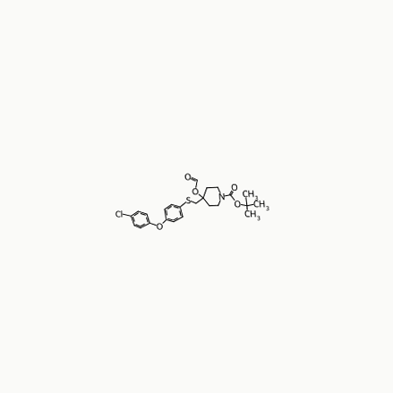 CC(C)(C)OC(=O)N1CCC(CSc2ccc(Oc3ccc(Cl)cc3)cc2)(OC=O)CC1